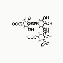 O=C([O-])c1cc(O)c(O)c(O)c1.O=C([O-])c1cc(O)c(O)c(O)c1.O=C([O-])c1cc(O)c(O)c(O)c1.[Cr+3]